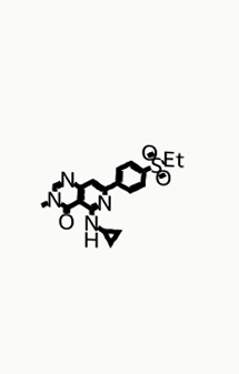 CCS(=O)(=O)c1ccc(-c2cc3ncn(C)c(=O)c3c(NC3CC3)n2)cc1